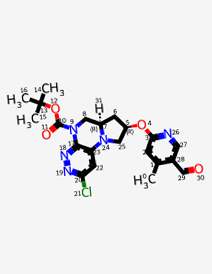 Cc1cc(O[C@@H]2C[C@@H]3CN(C(=O)OC(C)(C)C)c4nnc(Cl)cc4N3C2)ncc1C=O